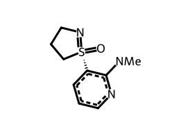 CNc1ncccc1[S@@]1(=O)=NCCC1